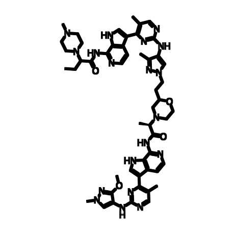 CCC(C(=O)Nc1nccc2c(-c3nc(Nc4cn(CCC5CN([C@H](C)C(=O)Nc6nccc7c(-c8nc(Nc9cn(C)nc9OC)ncc8C)c[nH]c67)CCO5)nc4C)ncc3C)c[nH]c12)N1CCN(C)CC1